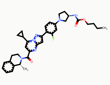 CCCCOC(=O)N[C@@H]1CCN(c2ccc(-c3cc4nc(C(=O)N5CCc6ccccc6[C@H]5C)cc(C5CC5)n4n3)c(F)c2)C1